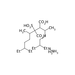 CCC(CC)CCC(C)C(C(=O)O)C(C(=O)O)(C(C)CCC(CC)CC)S(=O)(=O)O.N.N